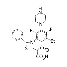 CCc1c(F)c(N2CCNCC2)c(F)c2c1c(=O)c(C(=O)O)c1n2C(c2ccccc2)S1